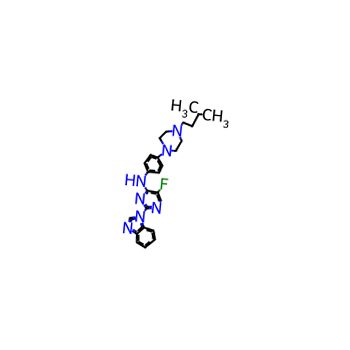 CC(C)CCN1CCN(c2ccc(Nc3nc(-n4cnc5ccccc54)ncc3F)cc2)CC1